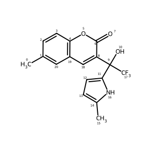 Cc1ccc2oc(=O)c(C(O)(c3ccc(C)[nH]3)C(F)(F)F)cc2c1